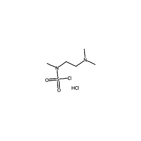 CN(C)CCN(C)S(=O)(=O)Cl.Cl